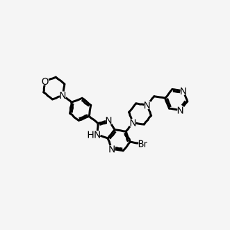 Brc1cnc2[nH]c(-c3ccc(N4CCOCC4)cc3)nc2c1N1CCN(Cc2cncnc2)CC1